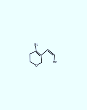 CCC1=C(/C=C\C(C)=O)COCC1